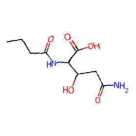 CCCC(=O)NC(C(=O)O)C(O)CC(N)=O